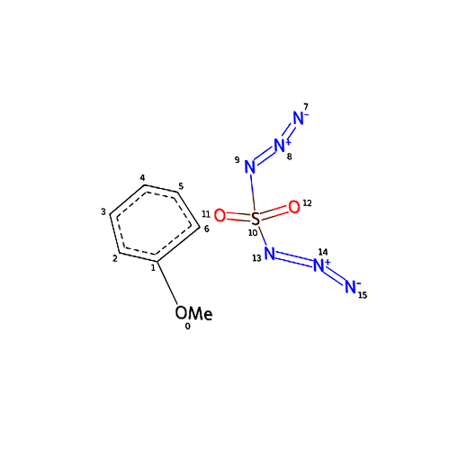 COc1ccccc1.[N-]=[N+]=NS(=O)(=O)N=[N+]=[N-]